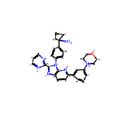 NC1(c2ccc(-n3c(-c4ncccn4)nc4ccc(-c5cccc(N6CCOCC6)c5)nc43)cc2)CCC1